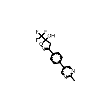 Cc1ncc(-c2ccc(C3=NOC(O)(C(F)(F)F)C3)cc2)cn1